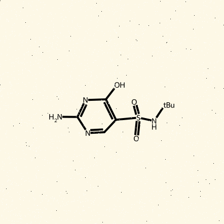 CC(C)(C)NS(=O)(=O)c1cnc(N)nc1O